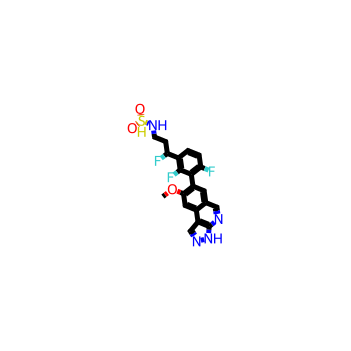 COc1cc2c(cnc3[nH]ncc32)cc1-c1c(F)ccc(C(F)CCN[SH](=O)=O)c1F